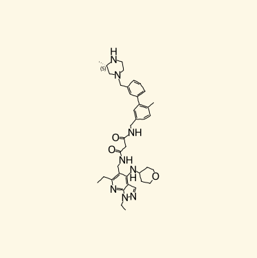 CCc1nc2c(cnn2CC)c(NC2CCOCC2)c1CNC(=O)CC(=O)NCc1ccc(C)c(-c2cccc(CN3CCN[C@@H](C)C3)c2)c1